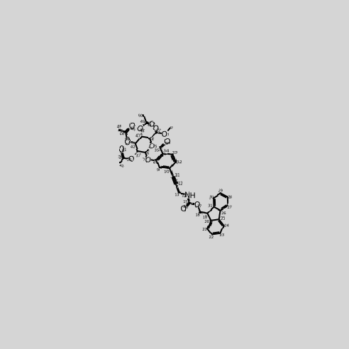 COC(=O)[C@H]1OC(Oc2cc(C#CCNC(=O)OCC3c4ccccc4-c4ccccc43)ccc2C=O)[C@H](OC(C)=O)[C@@H](OC(C)=O)[C@@H]1OC(C)=O